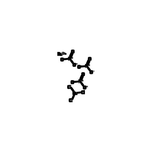 O=[N+]([O-])[O-].O=[N+]([O-])[O-].O=[N+]([O-])[O-].[Cl][Ru]([Cl])[Cl].[Ru+3]